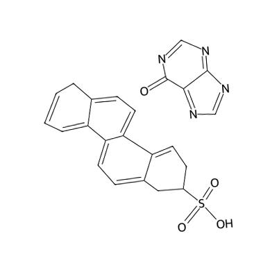 O=C1N=CN=C2N=CN=C12.O=S(=O)(O)C1CC=c2c(ccc3c4c(ccc23)CC=CC=4)C1